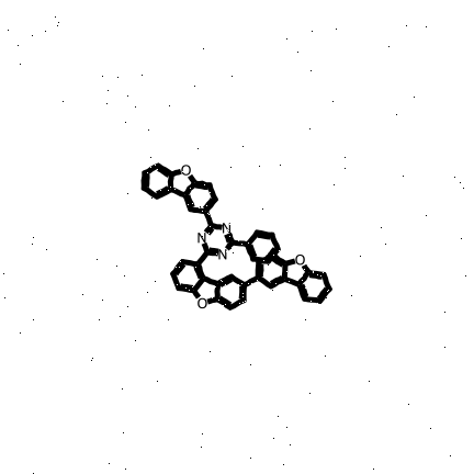 c1ccc(-c2nc(-c3ccc4oc5ccccc5c4c3)nc(-c3cccc4oc5ccc(-c6ccc7oc8ccccc8c7c6)cc5c34)n2)cc1